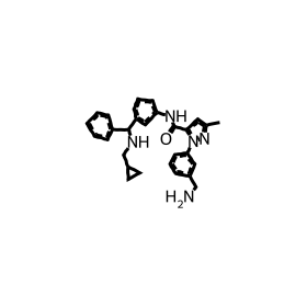 Cc1cc(C(=O)Nc2cccc(C(NCC3CC3)c3ccccc3)c2)n(-c2cccc(CN)c2)n1